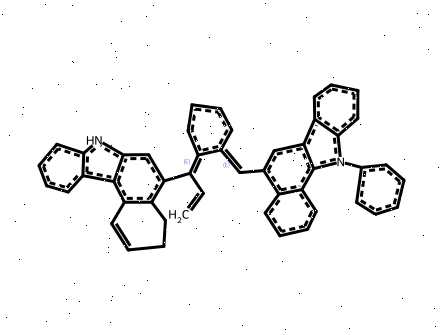 C=C/C(c1cc2[nH]c3ccccc3c2c2c1CCC=C2)=c1/cccc/c1=C\c1cc2c3ccccc3n(-c3ccccc3)c2c2ccccc12